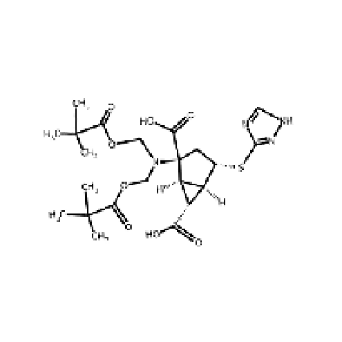 CC(C)(C)C(=O)OCN(COC(=O)C(C)(C)C)[C@@]1(C(=O)O)C[C@H](Sc2nc[nH]n2)[C@H]2[C@H](C(=O)O)[C@H]21